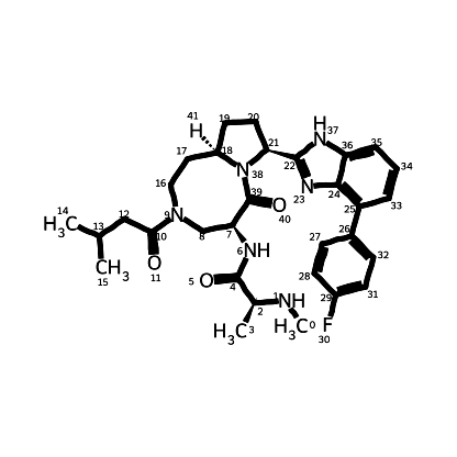 CN[C@@H](C)C(=O)N[C@H]1CN(C(=O)CC(C)C)CC[C@H]2CC[C@@H](c3nc4c(-c5ccc(F)cc5)cccc4[nH]3)N2C1=O